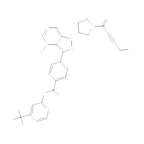 NN1C=NC=C2C1=C(c1ccc(C(=O)Nc3cc(C(F)(F)F)ccn3)cc1)NN2[C@@H]1CCN(C(=O)C#CCO)C1